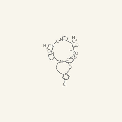 CC1C(=O)NS(=O)(=O)c2ccc3c(c2)N(CCCCc2cc(Cl)ccc2CO3)CC2CCCN2C(=O)N(C)CCN2CCC1C2